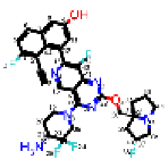 C#Cc1c(F)ccc2cc(O)cc(-c3ncc4c(N5CC[C@@H](N)C(F)(F)C5)nc(OC[C@@]56CCCN5C[C@H](F)C6)nc4c3F)c12